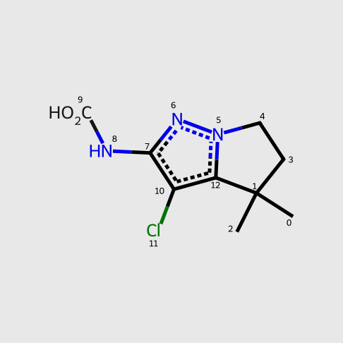 CC1(C)CCn2nc(NC(=O)O)c(Cl)c21